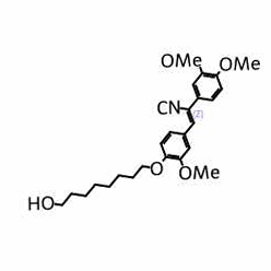 [C-]#[N+]/C(=C\c1ccc(OCCCCCCCCO)c(OC)c1)c1ccc(OC)c(OC)c1